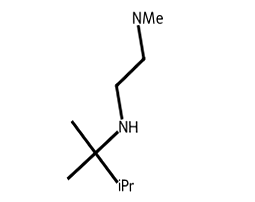 CNCCNC(C)(C)C(C)C